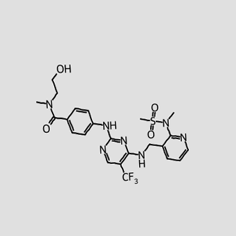 CN(CCO)C(=O)c1ccc(Nc2ncc(C(F)(F)F)c(NCc3cccnc3N(C)S(C)(=O)=O)n2)cc1